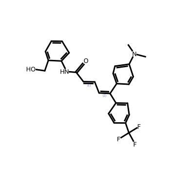 CN(C)c1ccc(/C(=C\C=C\C(=O)Nc2ccccc2CO)c2ccc(C(F)(F)F)cc2)cc1